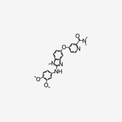 COc1ccc(Nc2nc3cc(Oc4ccnc(C(=O)N(C)C)c4)ccc3n2C)cc1OC